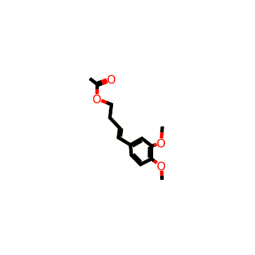 COc1ccc(C=CCCOC(C)=O)cc1OC